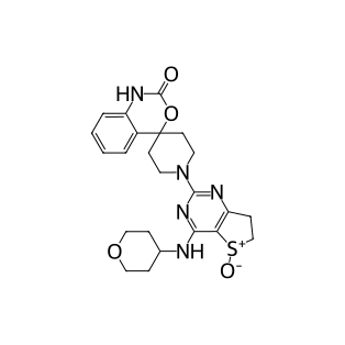 O=C1Nc2ccccc2C2(CCN(c3nc4c(c(NC5CCOCC5)n3)[S+]([O-])CC4)CC2)O1